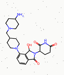 NC1CCN(CC2CCN(c3cccc4c3C(O)N(C3CCC(=O)NC3=O)C4=O)CC2)CC1